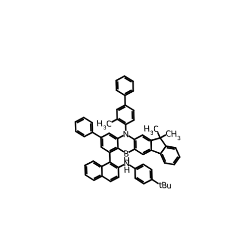 Cc1cc(-c2ccccc2)ccc1N1c2cc3c(cc2Bc2c(-c4c(Nc5ccc(C(C)(C)C)cc5)ccc5ccccc45)cc(-c4ccccc4)cc21)-c1ccccc1C3(C)C